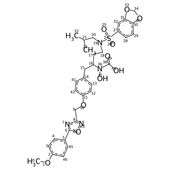 COc1ccc(-c2nc(COc3ccc(CC(CCN(CC(C)C)S(=O)(=O)c4ccc5c(c4)OCO5)N(O)C(=O)O)cc3)no2)cc1